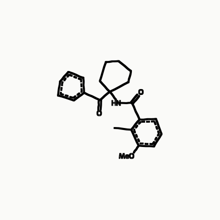 COc1cccc(C(=O)NC2(C(=O)c3ccccc3)CCCCC2)c1C